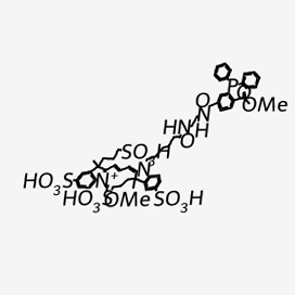 COCC[N+]1=C(/C=C/C=C2/N(CCCCCC(=O)NCCNC(=O)c3ccc(C(=O)OC)c(P(c4ccccc4)c4ccccc4)c3)c3ccc(S(=O)(=O)O)cc3C2(C)CCCS(=O)(=O)O)C(C)(CCCS(=O)(=O)O)c2cc(S(=O)(=O)O)ccc21